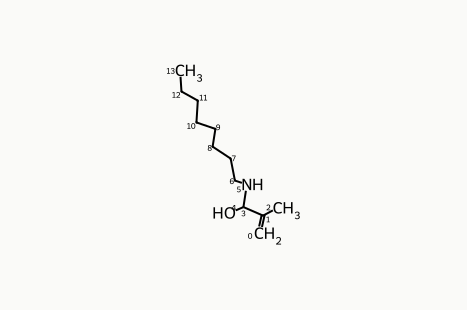 C=C(C)C(O)NCCCCCCCC